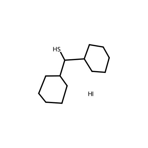 I.SC(C1CCCCC1)C1CCCCC1